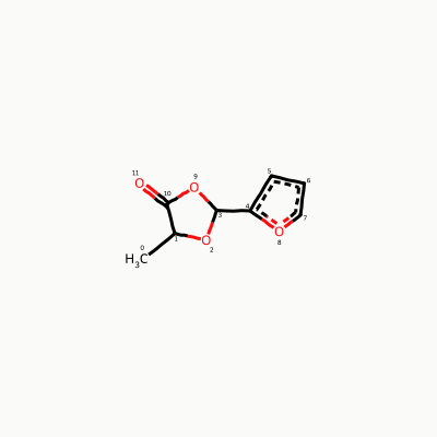 CC1OC(c2ccco2)OC1=O